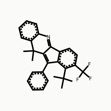 CC(C)(C)c1c(C(F)(F)F)ccc2c1C(c1ccccc1)=C1C2=Nc2ccccc2C1(C)C